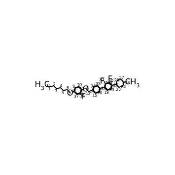 CCCCCCCOc1ccc(OCc2ccc(-c3ccc(C4CCC(C)CC4)c(F)c3F)cc2)c(F)c1